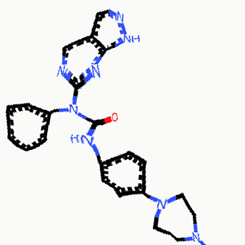 CN1CCN(c2ccc(NC(=O)N(c3ccccc3)c3ncc4cn[nH]c4n3)cc2)CC1